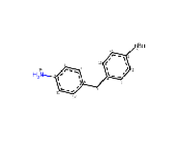 CCCCc1ccc(Cc2ccc(N)cc2)cc1